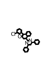 Clc1cccc2c1oc1cc(-c3nc(-c4ccccc4)cc(-c4ccccc4)n3)c3ccccc3c12